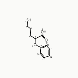 O=C(O)C(CCCS)Oc1ccccc1